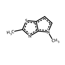 Cc1nc2c(ccn2C)s1